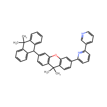 CC1(C)c2ccc(-c3cccc(-c4cccnc4)n3)cc2Oc2cc(C3c4ccccc4C(C)(C)c4ccccc43)ccc21